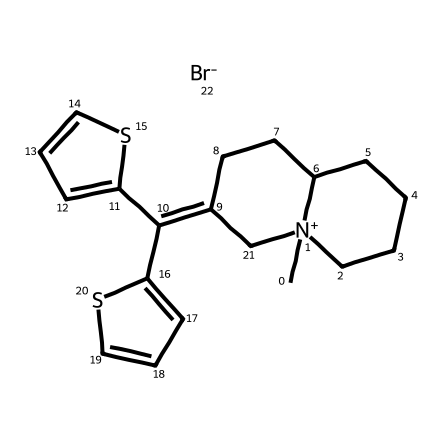 C[N+]12CCCCC1CCC(=C(c1cccs1)c1cccs1)C2.[Br-]